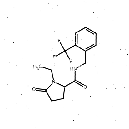 CCN1C(=O)CCC1C(=O)NCc1ccccc1C(F)(F)F